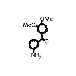 COc1ccc(C(=O)c2cccc(N)c2)cc1OC